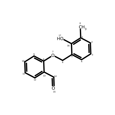 Cc1cccc(COc2ccccc2C=O)c1O